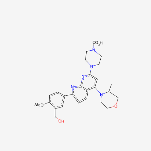 COc1ccc(-c2ccc3c(N4CCOCC4C)cc(N4CCN(C(=O)O)CC4)nc3n2)cc1CO